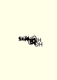 C[Si](C)(C)CCOCn1cc(-c2sc3c4c2OCCN4C(CO)CNC3=O)cn1